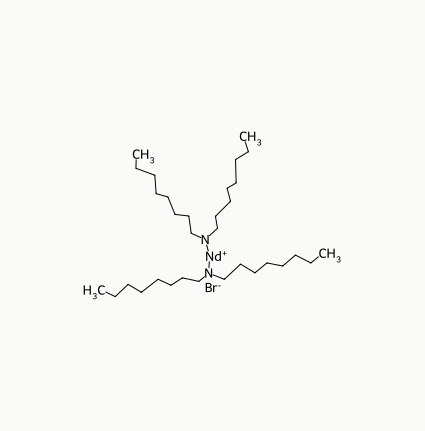 CCCCCCCC[N](CCCCCCCC)[Nd+][N](CCCCCCCC)CCCCCCCC.[Br-]